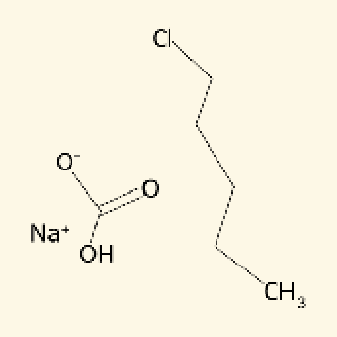 CCCCCCl.O=C([O-])O.[Na+]